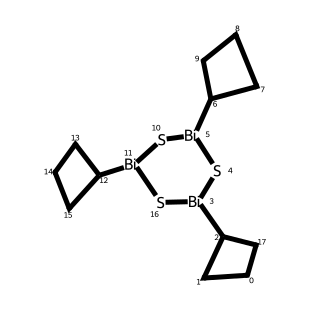 C1C[CH]([Bi]2[S][Bi]([CH]3CCC3)[S][Bi]([CH]3CCC3)[S]2)C1